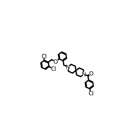 O=C(c1ccc(Cl)cc1)N1CCC2(CCN(Cc3ccccc3OCc3c(Cl)cccc3Cl)CC2)CC1